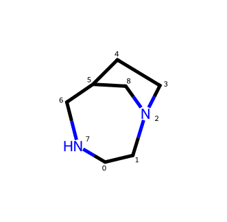 C1CN2CCC(CN1)C2